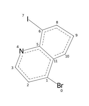 Brc1ccnc2c(I)cccc12